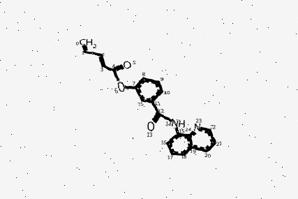 C=C/C=C/C(=O)Oc1cccc(C(=O)Nc2cccc3cccnc23)c1